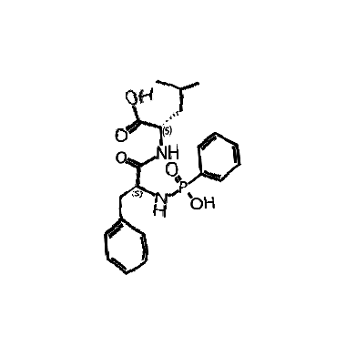 CC(C)C[C@H](NC(=O)[C@H](Cc1ccccc1)NP(=O)(O)c1ccccc1)C(=O)O